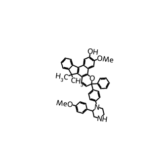 COc1ccc(C2CNCCN2c2ccc(C3(c4ccccc4)C=Cc4c5c(c6cc(O)c(OC)cc6c4O3)-c3ccccc3C5(C)C)cc2)cc1